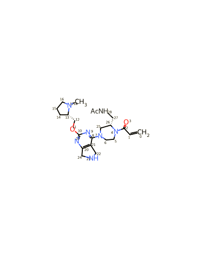 C=CC(=O)N1CCN(c2nc(OC[C@@H]3CCCN3C)nc3c2CNC3)C[C@@H]1CNC(C)=O